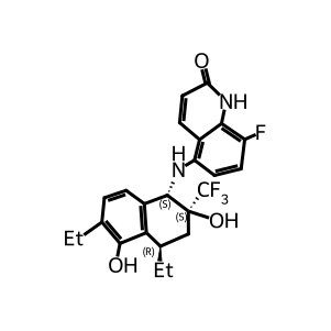 CCc1ccc2c(c1O)[C@H](CC)C[C@@](O)(C(F)(F)F)[C@H]2Nc1ccc(F)c2[nH]c(=O)ccc12